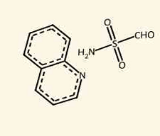 NS(=O)(=O)C=O.c1ccc2ncccc2c1